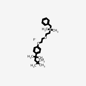 CC(C)(C)CC(C)(C)c1ccc(OCCOCC[N+](C)(C)Cc2ccccc2)cc1.[F-]